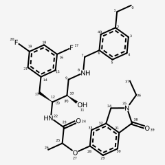 CCc1cccc(CNC[C@@H](O)[C@H](Cc2cc(F)cc(F)c2)NC(=O)C(C)Oc2ccc3c(c2)CN(CC)C3=O)c1